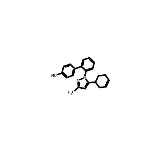 Cc1cc(C2CC=CCC2)n(-c2ccccc2-c2ccc(O)cc2)n1